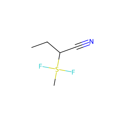 CCC(C#N)S(C)(F)F